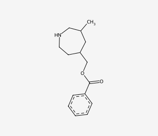 CC1CNCCC(COC(=O)c2ccccc2)C1